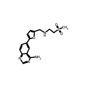 CS(=O)(=O)CCNCc1ccc(-c2ccc3ncnc(N)c3c2)o1